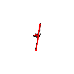 CCCCCCCCCCCCCCCCCCCCCC(=O)O[C@H](COC(=O)CCCCCCCCCCCCCCCCC)COP(=O)(O)OCC[N+](C)(C)C